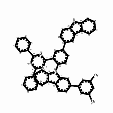 N#Cc1cc(C#N)cc(-c2ccc3c4ccccc4n(-c4ccc(-c5ccc6sc7ccccc7c6c5)cc4-c4nc(-c5ccccc5)nc(-c5ccccc5)n4)c3c2)c1